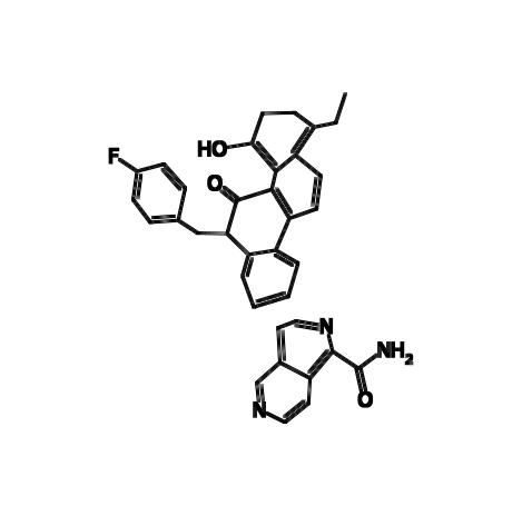 CCC1=c2ccc3c(c2=C(O)CC1)C(=O)C(Cc1ccc(F)cc1)c1ccccc1-3.NC(=O)c1nccc2cnccc12